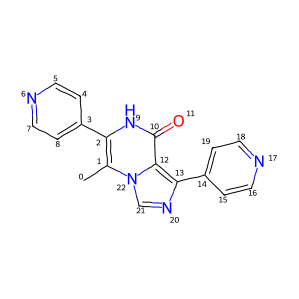 Cc1c(-c2ccncc2)[nH]c(=O)c2c(-c3ccncc3)ncn12